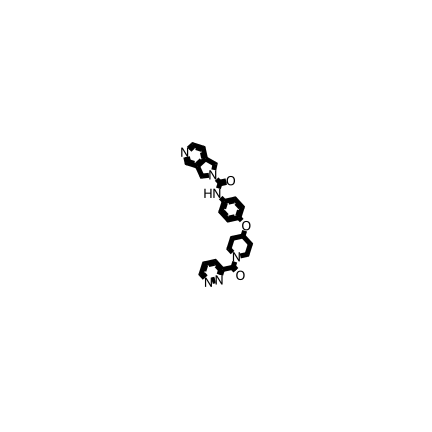 O=C(Nc1ccc(OC2CCN(C(=O)c3cccnn3)CC2)cc1)N1Cc2ccncc2C1